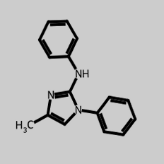 Cc1cn(-c2ccccc2)c(Nc2ccccc2)n1